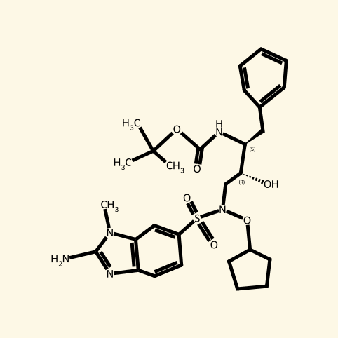 Cn1c(N)nc2ccc(S(=O)(=O)N(C[C@@H](O)[C@H](Cc3ccccc3)NC(=O)OC(C)(C)C)OC3CCCC3)cc21